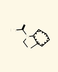 NC(=O)N1[CH]Sc2ccccc21